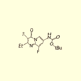 CCc1nc2c(F)cc(NC(=O)OC(C)(C)C)cn2c(=O)c1F